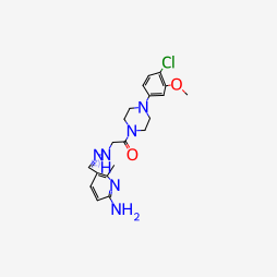 COc1cc(N2CCN(C(=O)CN/N=C\c3ccc(N)nc3C)CC2)ccc1Cl